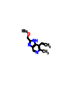 C=Cc1c(C)ncc2nc(COC(C)(C)C)[nH]c12